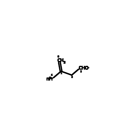 C=C(C[C]=O)CCC